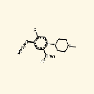 CN1CCN(c2cc(F)c(N=[N+]=[N-])cc2[N+](=O)[O-])CC1